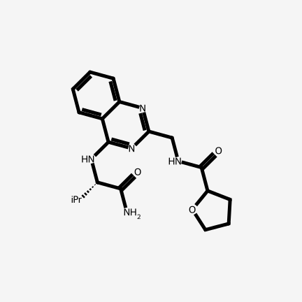 CC(C)[C@H](Nc1nc(CNC(=O)C2CCCO2)nc2ccccc12)C(N)=O